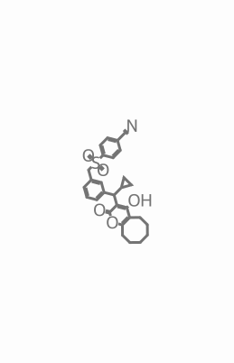 N#Cc1ccc(S(=O)(=O)Cc2cccc(C(c3c(O)c4c(oc3=O)CCCCCC4)C3CC3)c2)cc1